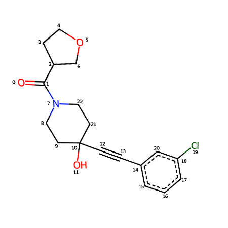 O=C(C1CCOC1)N1CCC(O)(C#Cc2cccc(Cl)c2)CC1